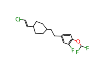 Fc1cc(CCC2CCC(/C=C/Cl)CC2)ccc1OC(F)F